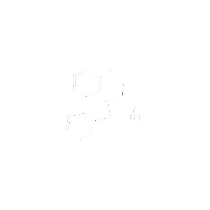 NCC1CCc2ccccc2N1Cc1ccccc1